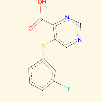 O=C(O)c1ncncc1Sc1cccc(F)c1